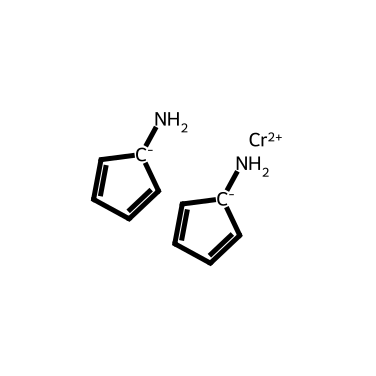 N[c-]1cccc1.N[c-]1cccc1.[Cr+2]